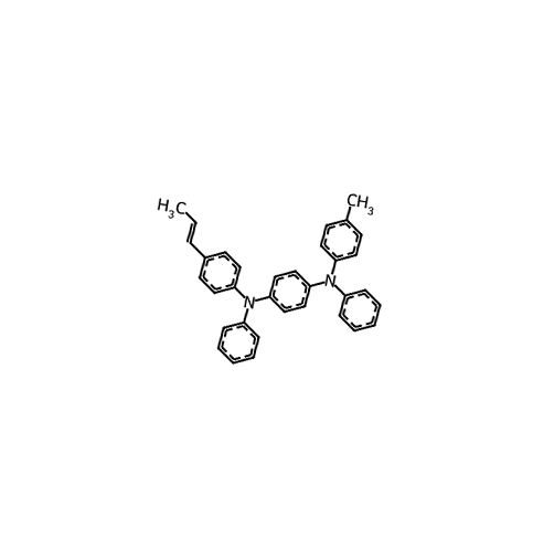 CC=Cc1ccc(N(c2ccccc2)c2ccc(N(c3ccccc3)c3ccc(C)cc3)cc2)cc1